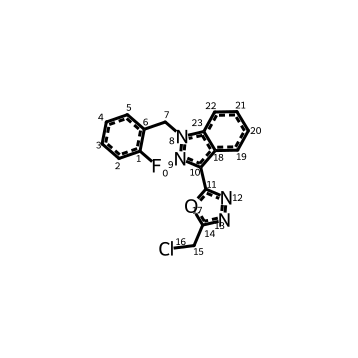 Fc1ccccc1Cn1nc(-c2nnc(CCl)o2)c2ccccc21